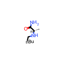 CCCCCN[C@@H](C)C(N)=O